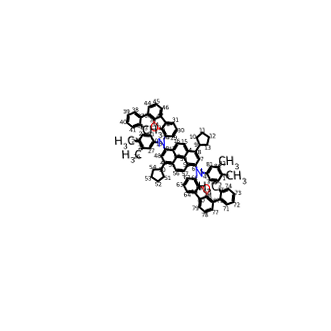 Cc1ccc(N(c2cc(C3CCCC3)c3ccc4c(N(c5ccc(C)c(C)c5)c5cccc6c5oc5c(-c7ccccc7C)cccc56)cc(C5CCCC5)c5ccc2c3c54)c2cccc3c2oc2c(-c4ccccc4C)cccc23)cc1C